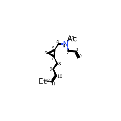 C=CCN(C[C@@H]1C[C@@H]1CC/C=C\CC)C(C)=O